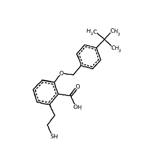 CC(C)(C)c1ccc(COc2cccc(CCS)c2C(=O)O)cc1